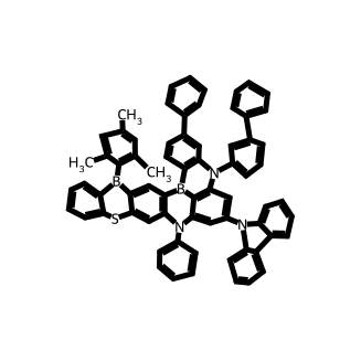 Cc1cc(C)c(B2c3ccccc3Sc3cc4c(cc32)B2c3ccc(-c5ccccc5)cc3N(c3cccc(-c5ccccc5)c3)c3cc(-n5c6ccccc6c6ccccc65)cc(c32)N4c2ccccc2)c(C)c1